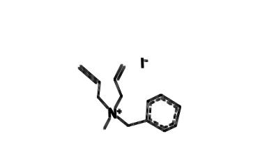 C=CC[N+](C)(CC=C)Cc1ccccc1.[I-]